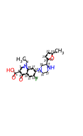 CCn1cc(C(=O)O)c(=O)c2cc(F)c(N3CCNC(c4ccc(C)o4)C3)cc21